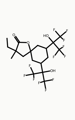 CCC1(C)CC2(CC(C(O)(C(F)(F)F)C(F)(F)F)CC(C(O)(C(F)(F)F)C(F)(F)F)C2)OC1=O